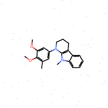 COc1cc(N2CCCc3c2n(C)c2ccccc32)cc(C)c1OC